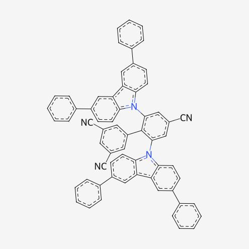 N#Cc1cc(C#N)cc(-c2c(-n3c4ccc(-c5ccccc5)cc4c4cc(-c5ccccc5)ccc43)cc(C#N)cc2-n2c3ccc(-c4ccccc4)cc3c3cc(-c4ccccc4)ccc32)c1